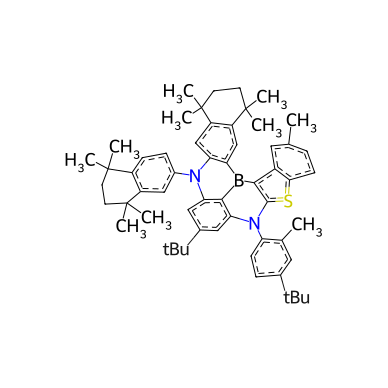 Cc1ccc2sc3c(c2c1)B1c2cc4c(cc2N(c2ccc5c(c2)C(C)(C)CCC5(C)C)c2cc(C(C)(C)C)cc(c21)N3c1ccc(C(C)(C)C)cc1C)C(C)(C)CCC4(C)C